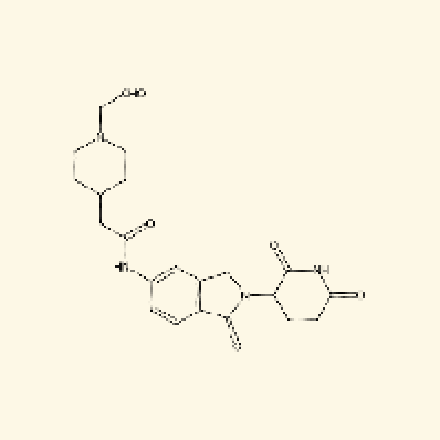 O=CCN1CCC(CC(=O)Nc2ccc3c(c2)CN(C2CCC(=O)NC2=O)C3=O)CC1